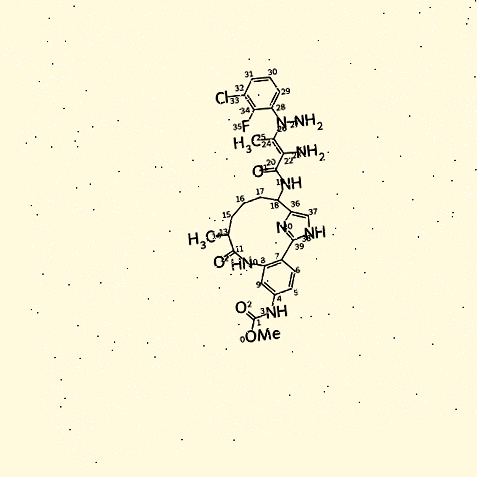 COC(=O)Nc1ccc2c(c1)NC(=O)C(C)CCCC(NC(=O)/C(N)=C(\C)N(N)c1cccc(Cl)c1F)c1c[nH]c-2n1